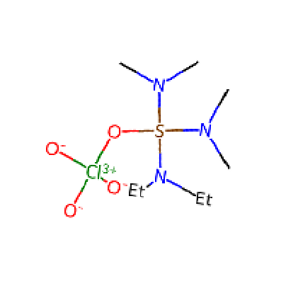 CCN(CC)S(O[Cl+3]([O-])([O-])[O-])(N(C)C)N(C)C